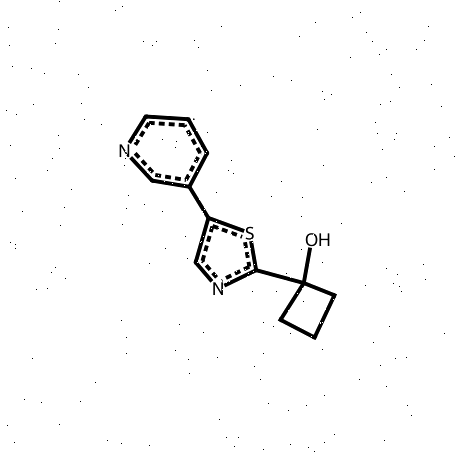 OC1(c2ncc(-c3c[c]cnc3)s2)CCC1